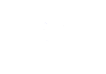 CCOC(=O)c1cc2c(C3CC3)c[nH]c(=O)c2[nH]1